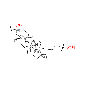 CC[C@]1(O)CC[C@@]2(C)[C@H](CC[C@@H]3[C@@H]2CC[C@]2(C)[C@@H]([C@H](C)CCCC(C)(C)O)CC[C@@H]32)C1